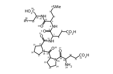 CSCCC(NC(=O)C(CCC(=O)O)NC(=O)C1CCCN1C(=O)C1CCCN1C(=O)C(N)CCC(=O)O)C(=O)NC(CC(C)C)C(=O)O